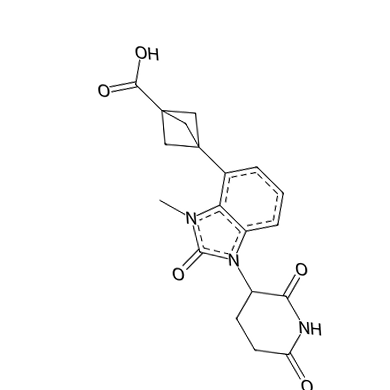 Cn1c(=O)n(C2CCC(=O)NC2=O)c2cccc(C34CC(C(=O)O)(C3)C4)c21